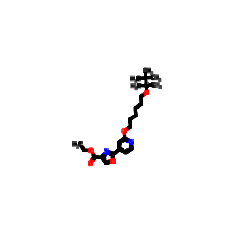 CCOC(=O)c1coc(-c2ccnc(OCCCCCCO[Si](C)(C)C(C)(C)C)c2)n1